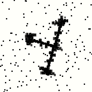 CC(=O)NC1C(OCCCCC(=O)NCCCNC(=O)CCOCC(COCCC(=O)NCCCNC(=O)CCCCOC2OC(CO)C(O)C(O)C2NC(C)=O)(COCCC(=O)NCCCNC(=O)CCCCOC(OC(CO)[C@@H](C)O)[C@H](O)NC(C)=O)NC(C)C)OCC(O)C1O